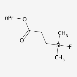 CCCOC(=O)CC[Si](C)(C)F